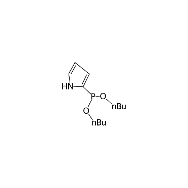 CCCCOP(OCCCC)c1ccc[nH]1